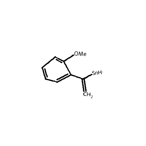 C=[C]([SnH])c1ccccc1OC